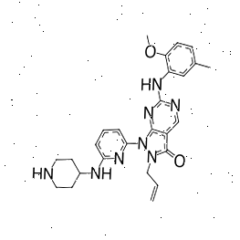 C=CCn1c(=O)c2cnc(Nc3cc(C)ccc3OC)nc2n1-c1cccc(NC2CCNCC2)n1